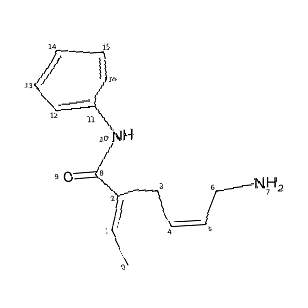 C/C=C(\C/C=C\CN)C(=O)Nc1ccccc1